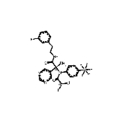 B[C@](C(=O)NCCc1cccc(F)c1)(c1cncnc1)N(C(=O)[C@H](F)Cl)c1ccc(S(F)(F)(F)(F)F)cc1